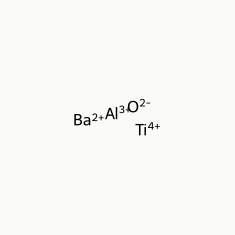 [Al+3].[Ba+2].[O-2].[Ti+4]